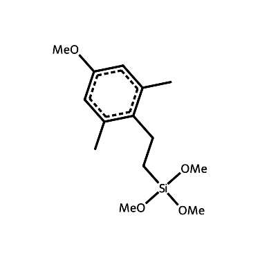 COc1cc(C)c(CC[Si](OC)(OC)OC)c(C)c1